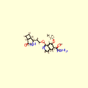 COc1cc2c(OCC[C@H]3NC(=O)C4CCC43)nccc2cc1C(N)=O